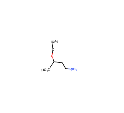 COCOC(CCN)C(=O)O